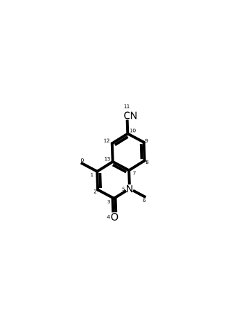 Cc1cc(=O)n(C)c2ccc(C#N)cc12